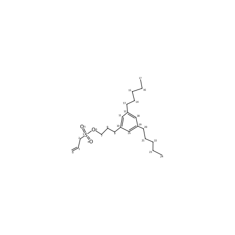 C=CCS(=O)(=O)OCCCc1cc(CCCCC)cc(CCCCC)c1